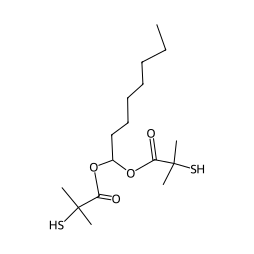 CCCCCCCC(OC(=O)C(C)(C)S)OC(=O)C(C)(C)S